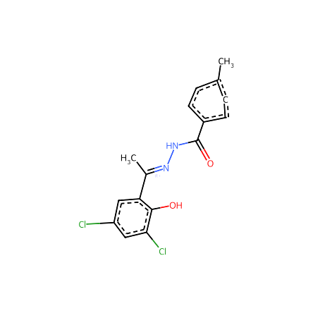 C/C(=N\NC(=O)c1ccc(C)cc1)c1cc(Cl)cc(Cl)c1O